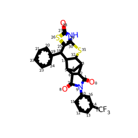 O=C1C2C3CC(C2C(=O)N1c1cccc(C(F)(F)F)c1)C1C(c2ccccc2)c2sc(=O)[nH]c2SC31